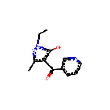 CCn1nc(C)c(C(=O)c2cccnc2)c1O